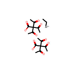 CC(=O)C(C(C)=O)(C(C)=O)C(=O)[O-].CC(=O)C(C(C)=O)(C(C)=O)C(=O)[O-].C[CH2][Al+2]